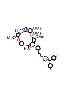 COc1ccc2cc1Oc1ccc(cc1)C[C@H]1c3cc(c(OC)cc3CCN1C)Oc1c(OC)c(OC)cc3c1[C@H](C2)N(C)CC3.Fc1ccc(C(c2ccc(F)cc2)N2CCN(C/C=C/c3ccccc3)CC2)cc1